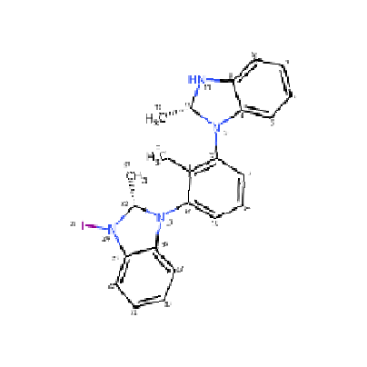 Cc1c(N2c3ccccc3N[C@H]2C)cccc1N1c2ccccc2N(I)[C@@H]1C